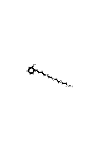 COCCOCCOCCOCCCCc1ccccc1I